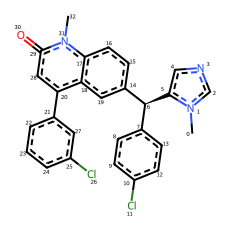 Cn1cncc1[C@@H](c1ccc(Cl)cc1)c1ccc2c(c1)c(-c1cccc(Cl)c1)cc(=O)n2C